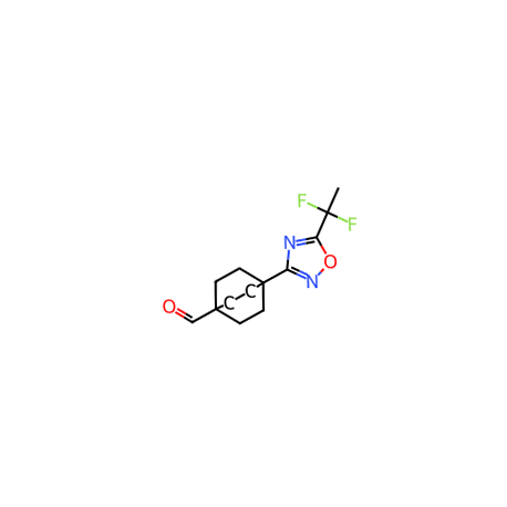 CC(F)(F)c1nc(C23CCC(C=O)(CC2)CC3)no1